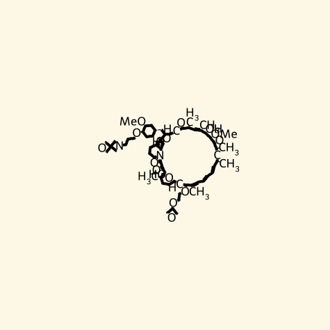 CO[C@@H]1C[C@H](CC2[C@H]3CCCN4C(=O)C(=O)[C@]5(O)O[C@@H](CC[C@H]5C)CC(OCCOC5COC5)/C(C)=C/C=C/C=C/[C@@H](C)C[C@@H](C)C(=O)[C@H](OC)[C@H](O)/C(C)=C/[C@@H](C)C(=O)C[C@@H]2OC(=O)C34)CC[C@H]1OCCCN1CC2(COC2)C1